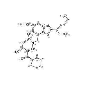 C=C/C(=C\C=C/C)c1cc2cc(Cl)cc(CN(C)/C(C)=C\C(=C)NC(=O)[C@@H]3CCCCN3)c2o1.Cl